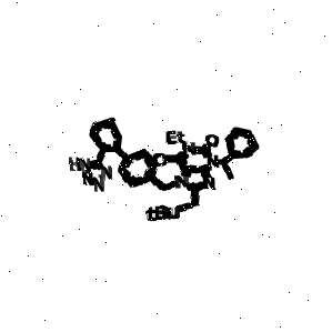 CCn1c(=O)c2c(nc(CC(C)(C)C)n2Cc2ccc(-c3ccccc3-c3nnn[nH]3)cc2)n(C(C)c2ccccc2)c1=O